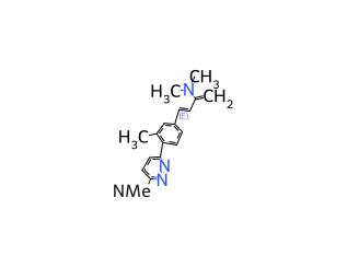 C=C(/C=C/c1ccc(-c2ccc(NC)nn2)c(C)c1)N(C)C